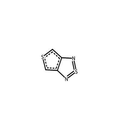 c1scc2c1N=S=N2